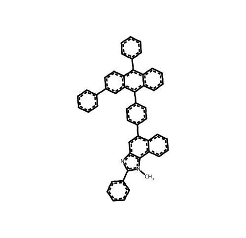 Cn1c(-c2ccccc2)nc2cc(-c3ccc(-c4c5ccccc5c(-c5ccccc5)c5ccc(-c6ccccc6)cc45)cc3)c3ccccc3c21